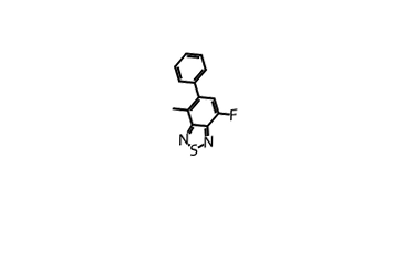 Cc1c(-c2ccccc2)cc(F)c2nsnc12